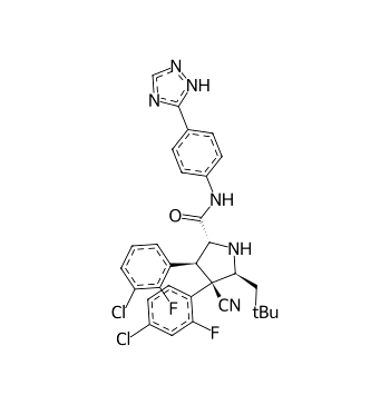 CC(C)(C)C[C@@H]1N[C@@H](C(=O)Nc2ccc(-c3ncn[nH]3)cc2)[C@H](c2cccc(Cl)c2F)[C@@]1(C#N)c1ccc(Cl)cc1F